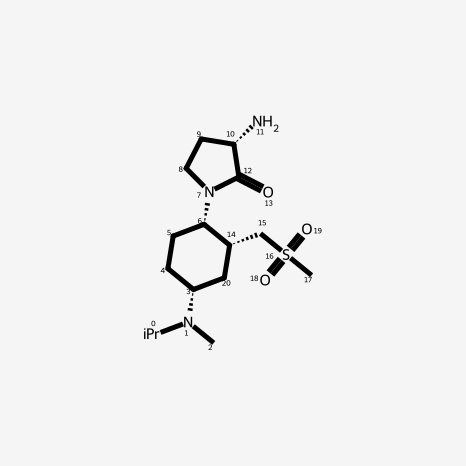 CC(C)N(C)[C@@H]1CC[C@H](N2CC[C@H](N)C2=O)[C@H](CS(C)(=O)=O)C1